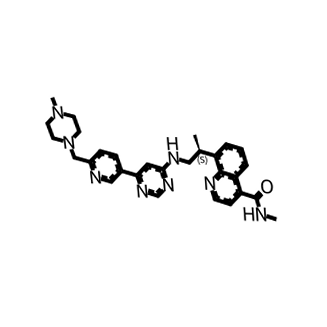 CNC(=O)c1ccnc2c([C@H](C)CNc3cc(-c4ccc(CN5CCN(C)CC5)nc4)ncn3)cccc12